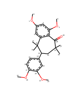 COc1cc(OC)c2c(c1)C(C)(C)C(c1ccc(OC)c(OC)c1)CC(C)(C)C2=O